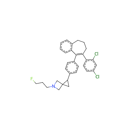 FCCCN1CC2(CC2c2ccc(C3=C(c4ccc(Cl)cc4Cl)CCCc4ccccc43)cc2)C1